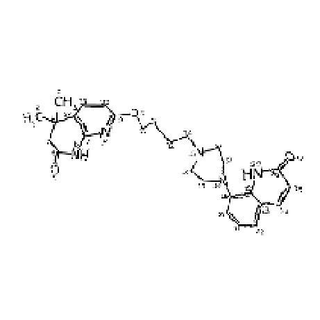 CC1(C)CC(=O)Nc2nc(OCCCCN3CCN(c4cccc5ccc(=O)[nH]c45)CC3)ccc21